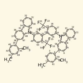 Cc1ccc(-c2ccc3c4ccccc4n(-c4ccc(C(F)(F)F)c(-c5cc(-n6c7ccccc7c7ccc(-c8ccc(C)cc8C)cc76)ccc5C(F)(F)F)c4)c3c2)c(C)c1